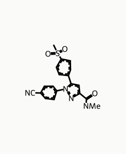 CNC(=O)c1cc(-c2ccc(S(C)(=O)=O)cc2)n(-c2ccc(C#N)cc2)n1